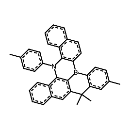 Cc1ccc(N2c3c(ccc4ccccc34)B3c4ccc(C)cc4C(C)(C)c4cc5ccccc5c2c43)cc1